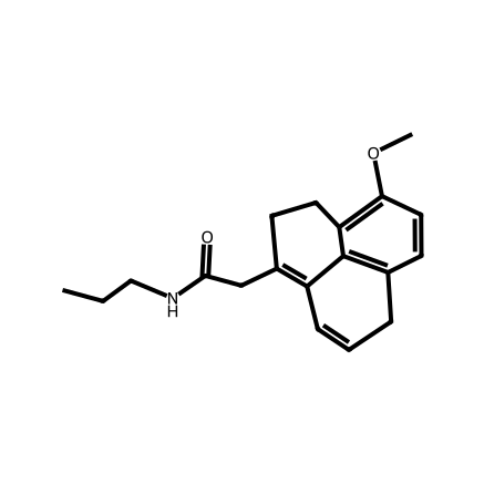 CCCNC(=O)CC1=C2C=CCc3ccc(OC)c(c32)CC1